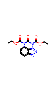 CCOC(=O)NC(=O)NC(=O)OCC.c1ccc2[nH]nnc2c1